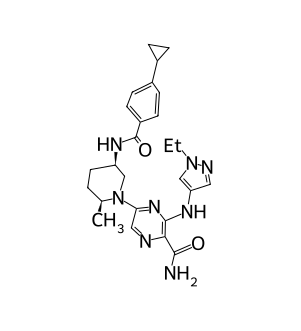 CCn1cc(Nc2nc(N3C[C@H](NC(=O)c4ccc(C5CC5)cc4)CC[C@@H]3C)cnc2C(N)=O)cn1